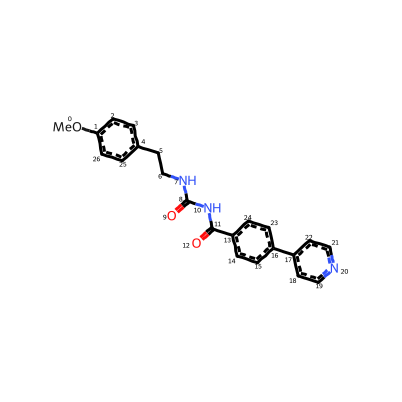 COc1ccc(CCNC(=O)NC(=O)c2ccc(-c3ccncc3)cc2)cc1